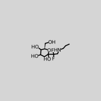 CCCNCC(F)(F)C1(O)CC(O)C(O)[C@@H](CO)O1